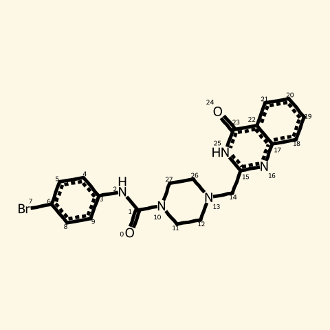 O=C(Nc1ccc(Br)cc1)N1CCN(Cc2nc3ccccc3c(=O)[nH]2)CC1